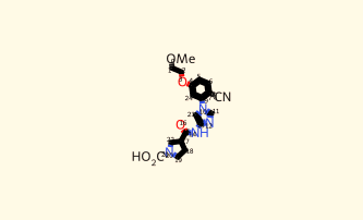 COCCOc1ccc(C#N)c(-n2cnc(NC(=O)C3CCN(C(=O)O)C3)c2)c1